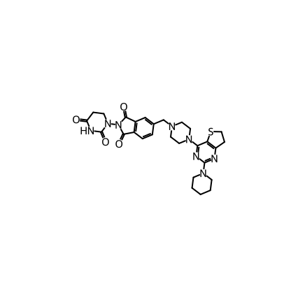 O=C1CCN(N2C(=O)c3ccc(CN4CCN(c5nc(N6CCCCC6)nc6c5SCC6)CC4)cc3C2=O)C(=O)N1